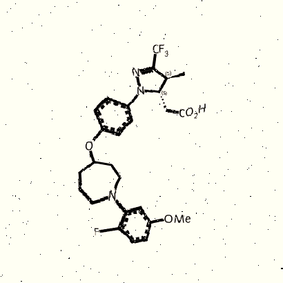 COc1ccc(F)c(N2CCCC(Oc3ccc(N4N=C(C(F)(F)F)[C@@H](C)[C@@H]4CC(=O)O)cc3)CC2)c1